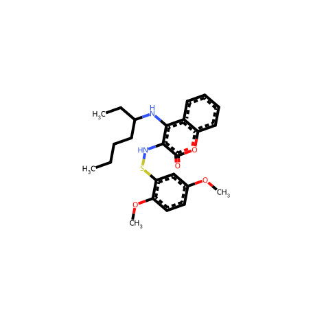 CCCCC(CC)Nc1c(NSc2cc(OC)ccc2OC)c(=O)oc2ccccc12